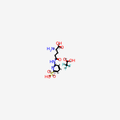 N[C@@H](CCC(=O)Nc1cccc(S(=O)(=O)O)n1)C(=O)O.O=C(O)C(F)(F)F